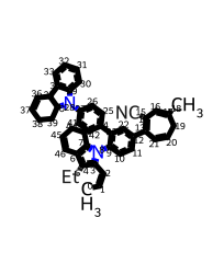 C/C=C\c1c(CC)c2c(n1-c1ccc(C3=C(C#N)C=C(C)CC=C3)cc1-c1ccc(N3c4ccccc4C4C=CCCC43)cc1)CCC=C2